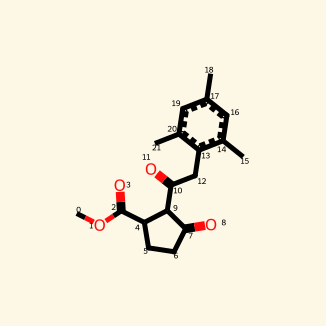 COC(=O)C1CCC(=O)C1C(=O)Cc1c(C)cc(C)cc1C